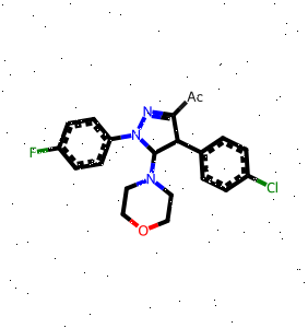 CC(=O)C1=NN(c2ccc(F)cc2)C(N2CCOCC2)C1c1ccc(Cl)cc1